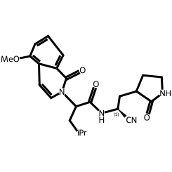 COc1cccc2c(=O)n(C(CC(C)C)C(=O)N[C@H](C#N)CC3CCNC3=O)ccc12